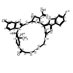 C[C@H]1CN2CC[C@@H]1n1c(nc3cc(Cl)ccc31)O[C@H]1C[C@@H](C(=O)O)N(C1)c1nc(nc3c1oc1cc(F)ccc13)CCCCOCC2=O